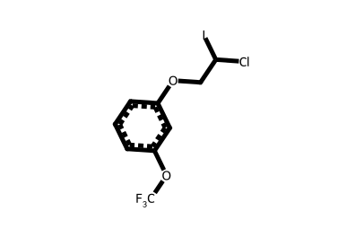 FC(F)(F)Oc1cccc(OCC(Cl)I)c1